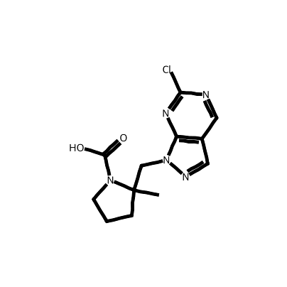 CC1(Cn2ncc3cnc(Cl)nc32)CCCN1C(=O)O